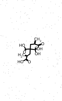 C=C(CC(CC(=C)C(=O)O)(C(=O)O)C(=O)O)C(=O)O